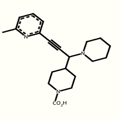 Cc1cccc(C#CC(C2CCN(C(=O)O)CC2)N2CCCCC2)n1